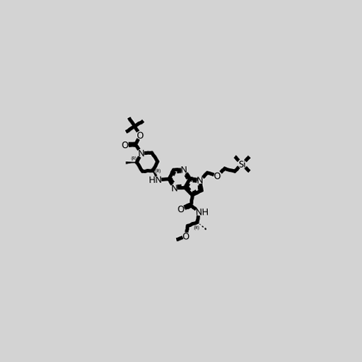 COC[C@@H](C)NC(=O)c1cn(COCC[Si](C)(C)C)c2ncc(N[C@@H]3CCN(C(=O)OC(C)(C)C)[C@H](C)C3)nc12